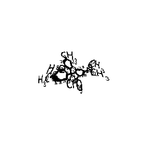 Cc1ccc(C2(c3ccc(C)cc3C)OC(=O)c3cc(N(C)C)ccc32)c(C)c1